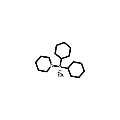 CC(C)(C)[PH](C1CCCCC1)(C1CCCCC1)N1CCCCC1